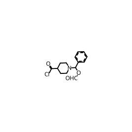 O=COC(c1ccccc1)N1CCC(C(=O)Cl)CC1